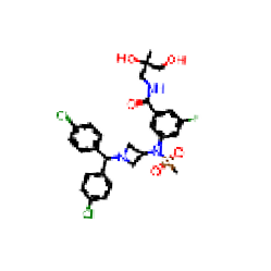 CC(O)(CO)CNC(=O)c1cc(F)cc(N(C2CN(C(c3ccc(Cl)cc3)c3ccc(Cl)cc3)C2)S(C)(=O)=O)c1